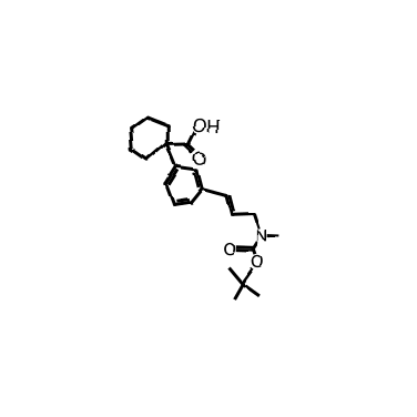 CN(CC=Cc1cccc(C2(C(=O)O)CCCCC2)c1)C(=O)OC(C)(C)C